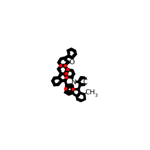 C[C@@H]1CC=CC2=C1C(c1ccccc1N(c1ccc(-c3cccc4c3oc3ccccc34)cc1)c1ccccc1-c1cc3ccccc3c3ccccc13)c1ccccc12